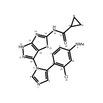 CNc1ccc(-c2cncn2-c2n[nH]c3nc(NC(=O)C4CC4)sc23)c(Cl)c1